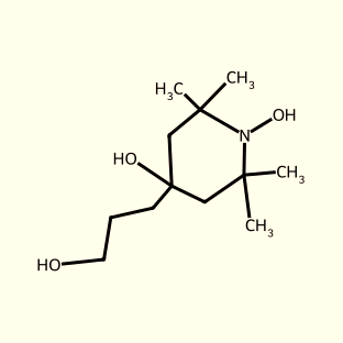 CC1(C)CC(O)(CCCO)CC(C)(C)N1O